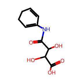 O=C(O)C(O)C(O)C(=O)NC1=CCCC=C1